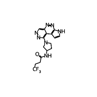 O=C(CCC(F)(F)F)NC1CCN(c2nncc3nnc4[nH]ccc4c23)C1